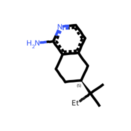 CCC(C)(C)[C@H]1CCc2c(ccnc2N)C1